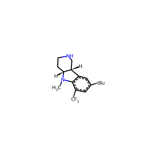 CN1c2c(cc(C(C)(C)C)cc2C(F)(F)F)[C@H]2CNCC[C@H]21